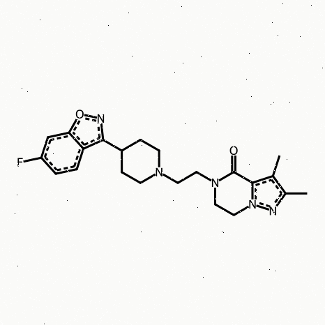 Cc1nn2c(c1C)C(=O)N(CCN1CCC(c3noc4cc(F)ccc34)CC1)CC2